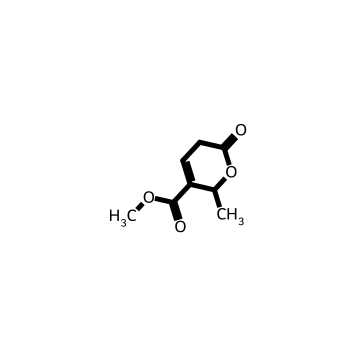 COC(=O)C1=CCC(=O)OC1C